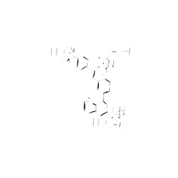 CC(C)(c1cc(-c2cccc(C=C(c3ccc(S(C)(=O)=O)cc3)c3nc(CO)no3)c2)c2ncccc2c1)S(C)(=O)=O